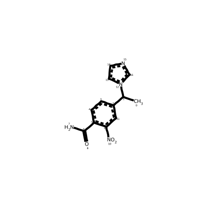 CC(c1ccc(C(N)=O)c([N+](=O)[O-])c1)n1ccnc1